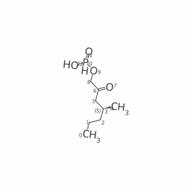 CCC[C@H](C)CC(=O)CO[PH](=O)O